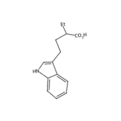 CCC(CCc1c[nH]c2ccccc12)C(=O)O